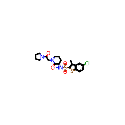 Cc1c(S(=O)(=O)N[C@H]2CCCN(CC(=O)N3CCCC3)C2=O)sc2ccc(Cl)cc12